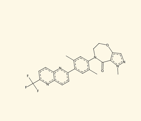 Cc1cc(N2CCOc3cnn(C)c3C2=O)c(C)cc1-c1ccc2nc(C(F)(F)F)ccc2n1